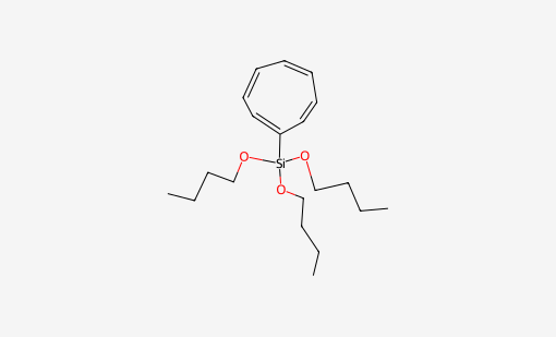 CCCCO[Si](OCCCC)(OCCCC)C1=CC=CC=CC=C1